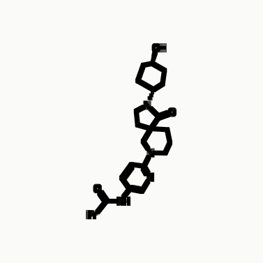 CC(C)C(=O)Nc1ccc(N2CCCC3(CCN([C@H]4CC[C@H](O)CC4)C3=O)C2)nc1